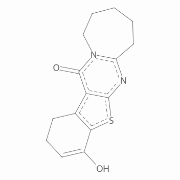 O=c1c2c3c(sc2nc2n1CCCCC2)C(O)=CCC3